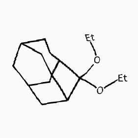 CCOC1(OCC)C2CC3CC(C2)CC1C3